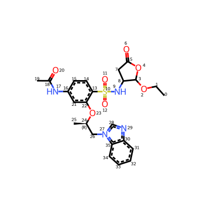 CCOC1OC(=O)CC1NS(=O)(=O)c1ccc(NC(C)=O)cc1O[C@H](C)Cn1cnc2ccccc21